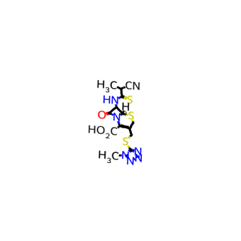 CC(C#N)C(=S)NC1C(=O)N2C(C(=O)O)=C(CSc3nnnn3C)CS[C@@H]12